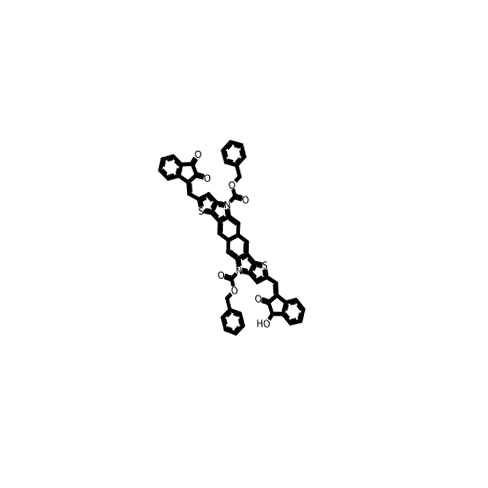 O=C1C(=O)c2ccccc2/C1=C/c1cc2c(s1)c1c(n2C(=O)OCc2ccccc2)=CC2C=c3c(n(C(=O)OCc4ccccc4)c4cc(/C=C5\C(=O)C(O)c6ccccc65)sc34)=CC2C=1